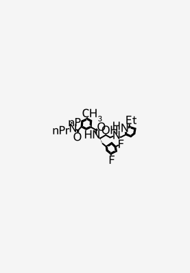 CCCN(CCC)C(=O)c1cc(C)cc(C(=O)N[C@@H](Cc2cc(F)cc(F)c2)[C@H](O)CNCc2cccc(CC)n2)c1